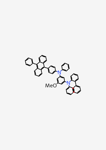 COc1cc(N(c2ccccc2)c2ccc(-c3c4ccccc4c(-c4ccccc4)c4ccccc34)cc2)cc(N(c2ccccc2)c2ccccc2-c2ccccc2)c1